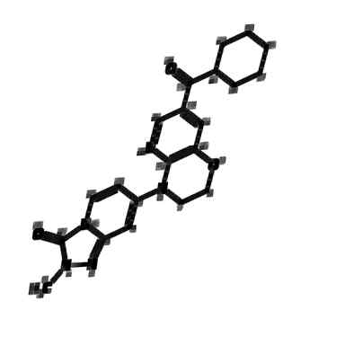 Cn1nc2cc(N3CCOc4cc(C(=O)C5CCCCC5)cnc43)ccn2c1=O